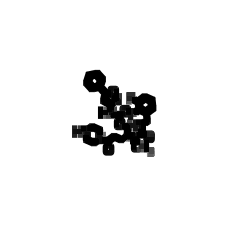 CN(C(=O)NCc1cccc(F)c1F)[C@@H](CCC(=O)N1CCNCC1)COC(=O)Nc1cc(-c2ccccc2)on1